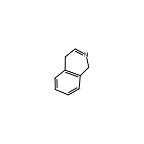 [c]1cccc2c1CN=CC2